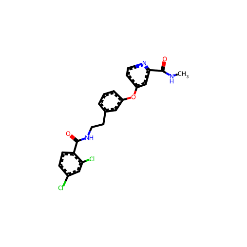 CNC(=O)c1cc(Oc2cccc(CCNC(=O)c3ccc(Cl)cc3Cl)c2)ccn1